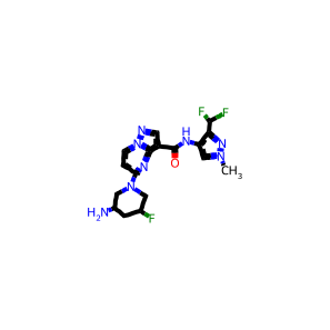 Cn1cc(NC(=O)c2cnn3ccc(N4CC(N)CC(F)C4)nc23)c(C(F)F)n1